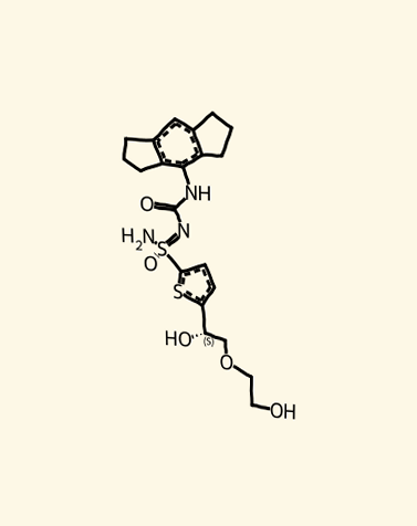 NS(=O)(=NC(=O)Nc1c2c(cc3c1CCC3)CCC2)c1ccc([C@@H](O)COCCO)s1